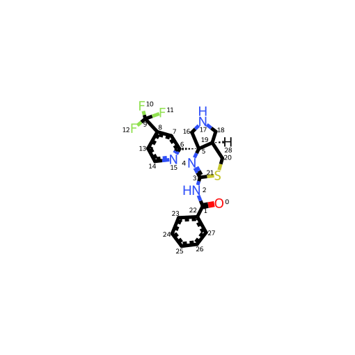 O=C(NC1=N[C@@]2(c3cc(C(F)(F)F)ccn3)CNC[C@H]2CS1)c1ccccc1